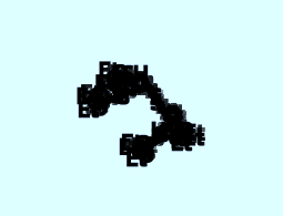 CCO[Si](CCCSSCCC1CC(CCSSCCC2CCCC(CC(S)[Si](OCC)(OCC)OCC)C(CCSSCCC[Si](OCC)(OCC)OCC)C2)CCCC1CC(S)[Si](OCC)(OCC)OCC)(OCC)OCC